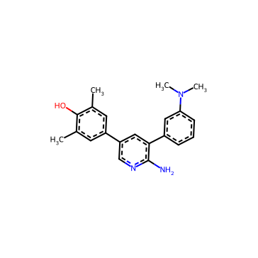 Cc1cc(-c2cnc(N)c(-c3cccc(N(C)C)c3)c2)cc(C)c1O